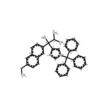 CCc1ccc2cc(C(O)(c3cn(C(c4ccccc4)(c4ccccc4)c4ccccc4)cn3)C(C)C)ccc2c1